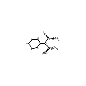 N=C(N)C(C(N)=O)C1CCCCC1